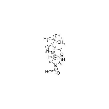 CC(C)(C)c1nnn2c1CO[C@H]1CN(C(=O)O)C[C@@H]12